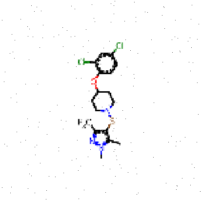 Cc1c(SN2CCC(Oc3ccc(Cl)cc3Cl)CC2)c(C(F)(F)F)nn1C